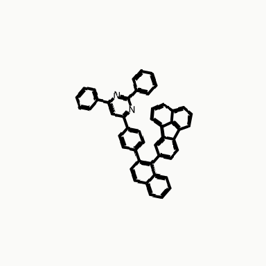 c1ccc(-c2cc(-c3ccc(-c4ccc5ccccc5c4-c4ccc5c(c4)-c4cccc6cccc-5c46)cc3)nc(-c3ccccc3)n2)cc1